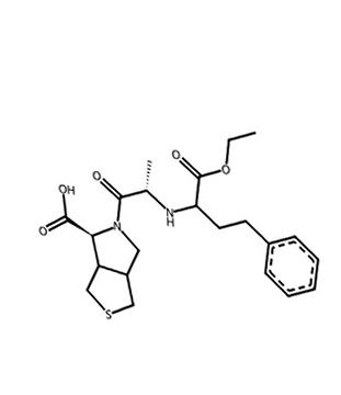 CCOC(=O)C(CCc1ccccc1)N[C@@H](C)C(=O)N1CC2CSCC2[C@H]1C(=O)O